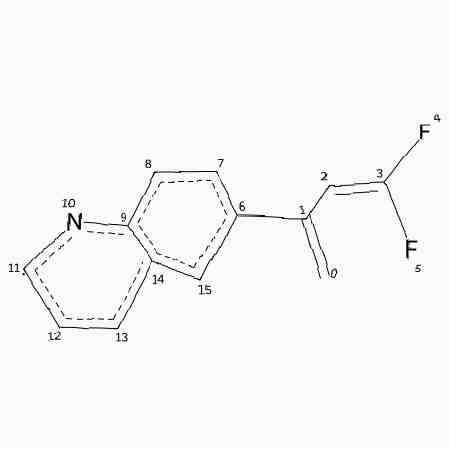 C=C(C=C(F)F)c1ccc2n[c]ccc2c1